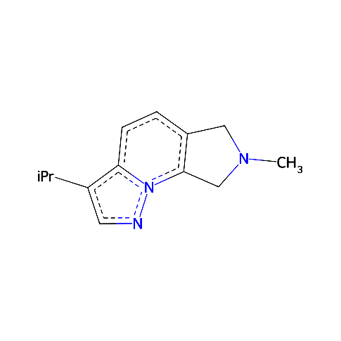 CC(C)c1cnn2c3c(ccc12)CN(C)C3